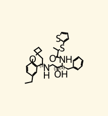 CCc1ccc2c(c1)[C@@H](NC[C@H](O)[C@H](Cc1ccccc1)NC(=O)C(C)Sc1cccs1)CC1(CCC1)O2